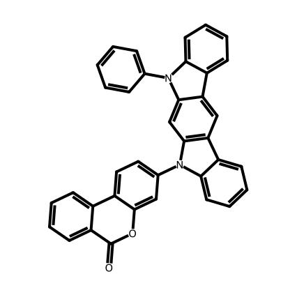 O=c1oc2cc(-n3c4ccccc4c4cc5c6ccccc6n(-c6ccccc6)c5cc43)ccc2c2ccccc12